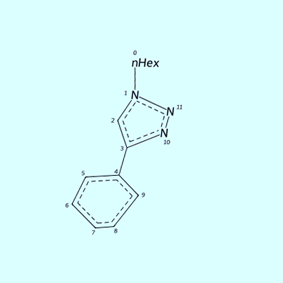 CCCCCCn1cc(-c2ccccc2)nn1